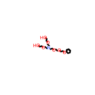 OCCOCCN(CCOCCO)CCOCCOCCOC1=CC=CCC1